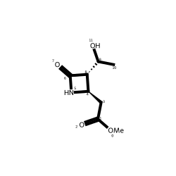 COC(=O)C[C@H]1NC(=O)[C@@H]1C(C)O